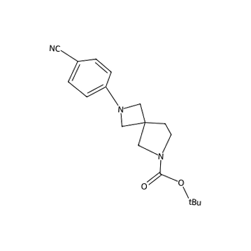 CC(C)(C)OC(=O)N1CCC2(C1)CN(c1ccc(C#N)cc1)C2